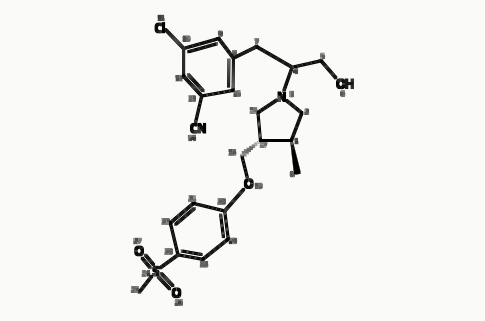 C[C@@H]1CN(C(CO)Cc2cc(Cl)cc(C#N)c2)C[C@H]1COc1ccc(S(C)(=O)=O)cc1